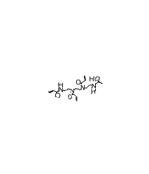 C=CC(=O)NCCN(CCN(CCNC(C)O)C(=O)C=C)C(=O)C=C